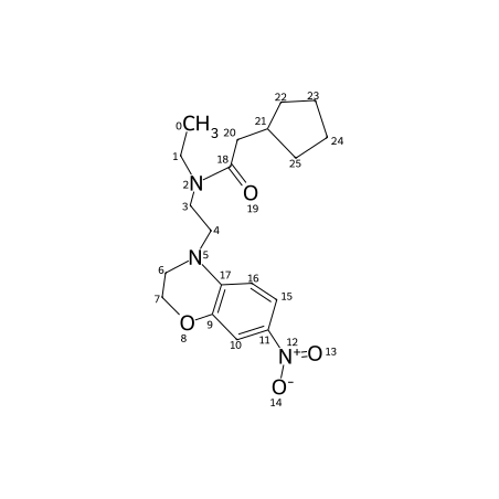 CCN(CCN1CCOc2cc([N+](=O)[O-])ccc21)C(=O)CC1CCCC1